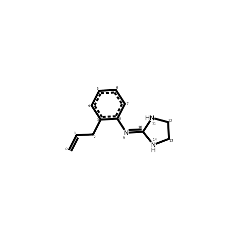 C=CCc1ccccc1N=C1NCCN1